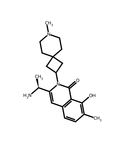 Cc1ccc2cc([C@H](C)N)n(C3CC4(CCN(C)CC4)C3)c(=O)c2c1O